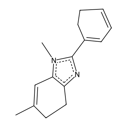 CC1=Cc2c(nc(C3=CC=CCC3)n2C)CC1